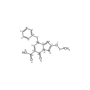 CCOc1nc2n(Cc3ccccc3)cc(C(=O)O)c(=O)n2n1